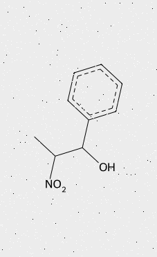 CC(C(O)c1ccccc1)[N+](=O)[O-]